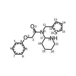 O=C(COc1ccccc1)N(Cc1cccs1)C1CCCCN1